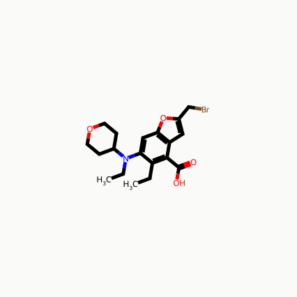 CCc1c(N(CC)C2CCOCC2)cc2oc(CBr)cc2c1C(=O)O